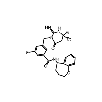 CCC1(CC)CC(=O)N(Cc2cc(F)cc(C(=O)NC3CCCOc4ccccc43)c2)C(=N)N1